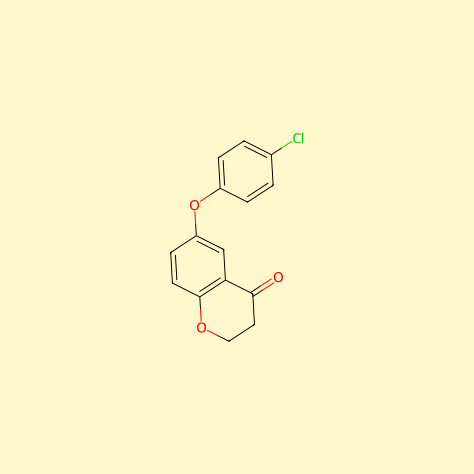 O=C1CCOc2ccc(Oc3ccc(Cl)cc3)cc21